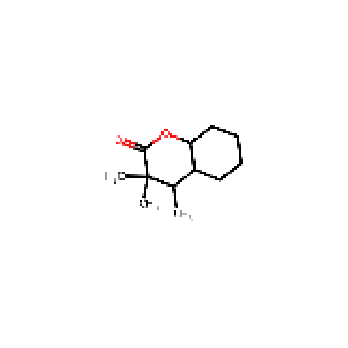 CC1C2CCCCC2OC(=O)C1(C)C